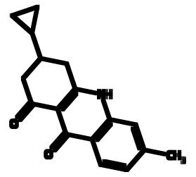 Cc1ccc2c(=O)c3c([nH]c2c1)CC(C1CC1)CC3=O